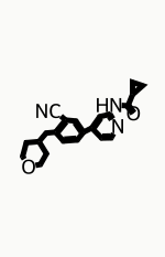 N#Cc1cc(-c2ccnc(NC(=O)C3CC3)c2)ccc1CC1CCOCC1